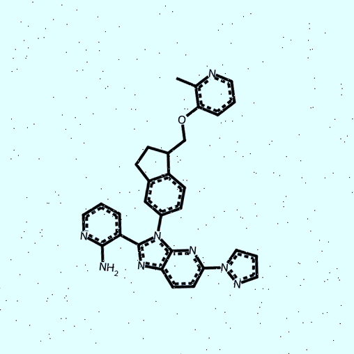 Cc1ncccc1OCC1CCc2cc(-n3c(-c4cccnc4N)nc4ccc(-n5cccn5)nc43)ccc21